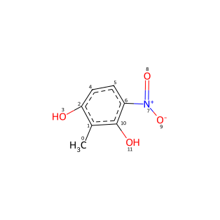 Cc1c(O)ccc([N+](=O)[O-])c1O